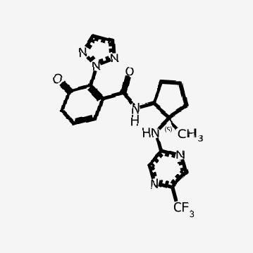 C[C@]1(Nc2cnc(C(F)(F)F)cn2)CCCC1NC(=O)C1=C(n2nccn2)C(=O)CC=C1